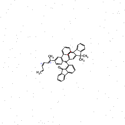 C=C/C=C\C=C(/C)c1ccc(N(c2ccc3c(c2)C(C)(C)c2ccccc2-3)c2cccc3c2C(=O)c2ccccc2-3)c(-c2ccccc2)c1